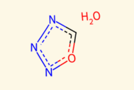 O.c1nnno1